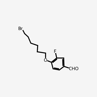 O=Cc1ccc(OCCCCCCBr)c(F)c1